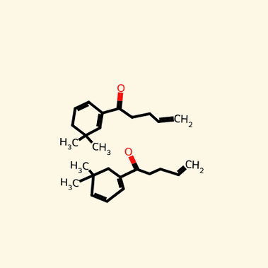 C=CCCC(=O)C1=CC(C)(C)CC=C1.C=CCCC(=O)C1=CC=CC(C)(C)C1